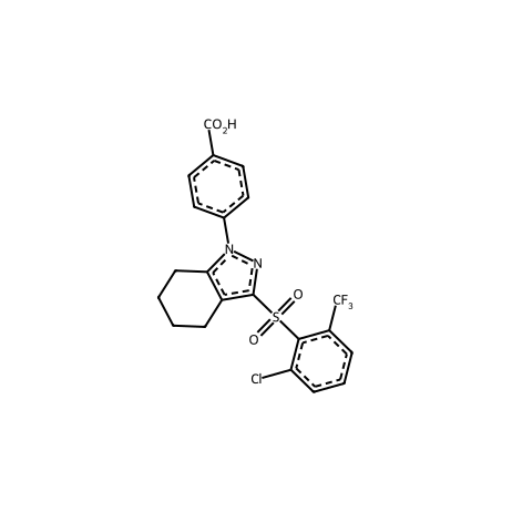 O=C(O)c1ccc(-n2nc(S(=O)(=O)c3c(Cl)cccc3C(F)(F)F)c3c2CCCC3)cc1